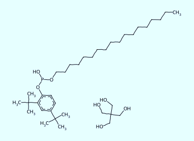 CCCCCCCCCCCCCCCCCCOP(O)Oc1ccc(C(C)(C)C)cc1C(C)(C)C.OCC(CO)(CO)CO